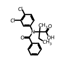 CCC(C)(C(=O)O)N(C(=O)c1ccccc1)c1ccc(Cl)c(Cl)c1